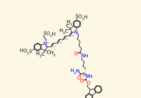 CC1(C)C(/C=C/C=C/C=C/C=C2/N(CCCCCC(=O)NCCCC[C@H](NC(=O)OCC3c4ccccc4-c4ccccc43)C(N)=O)c3ccc(S(=O)(=O)O)cc3C2(C)C)=[N+](CCS(=O)(=O)O)c2ccc(S(=O)(=O)O)cc21